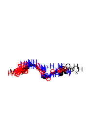 CSS[C@@H](C)OC1C[C@H](N2C=C(C#CCNC(=O)COCCOC(COc3cccc(C(=O)NCCNC(=O)CCCN(C)C(=O)c4ccccc4-c4c5cc/c(=N\I)c(S(=O)(=O)O)c-5oc5c(S(=O)(=O)O)c(N)ccc45)c3)N=[N+]=[N-])C(N)NC2O)O[C@@H]1COP(=O)(O)OP(=O)(O)OP(=O)(O)O